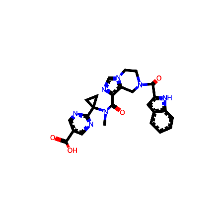 CN(C(=O)c1ncn2c1CN(C(=O)c1cc3ccccc3[nH]1)CC2)C1(c2ncc(C(=O)O)cn2)CC1